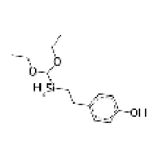 CCOC(OCC)[SiH2]CCc1ccc(O)cc1